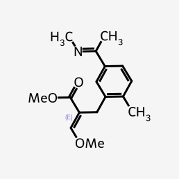 CN=C(C)c1ccc(C)c(C/C(=C\OC)C(=O)OC)c1